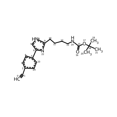 C#Cc1ccc(-c2c[nH]c(CCCCNC(=O)OC(C)(C)C)n2)cc1